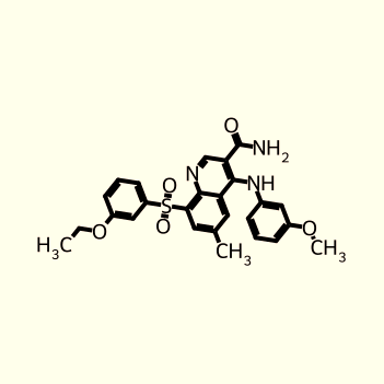 CCOc1cccc(S(=O)(=O)c2cc(C)cc3c(Nc4cccc(OC)c4)c(C(N)=O)cnc23)c1